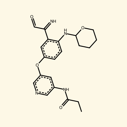 CCC(=O)Nc1cncc(Oc2ccc(NC3CCCCO3)c(C(=N)C=O)c2)c1